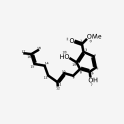 COC(=O)c1ccc(O)c(C/C=C(\C)CCC=C(C)C)c1O